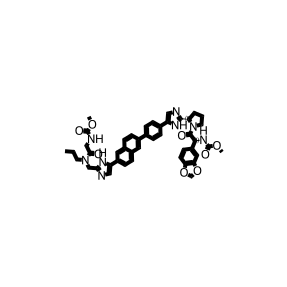 CCCN(Cc1ncc(-c2ccc3cc(-c4ccc(-c5cnc([C@@H]6CCCN6C(=O)[C@H](NC(=O)OC)c6ccc7c(c6)OCO7)[nH]5)cc4)ccc3c2)[nH]1)C(=O)CNC(=O)OC